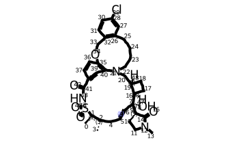 C[C@@H]1[C@@H](C)C/C=C/[C@](O)([C@@H]2CCN(C)C2=O)[C@@H]2CC[C@H]2CN2CCCCc3cc(Cl)ccc3COc3ccc(cc32)C(=O)NS1(=O)=O